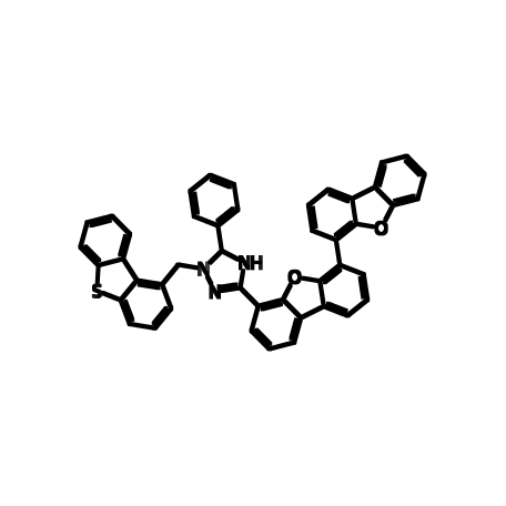 c1ccc(C2NC(c3cccc4c3oc3c(-c5cccc6c5oc5ccccc56)cccc34)=NN2Cc2cccc3sc4ccccc4c23)cc1